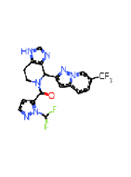 O=C(c1ccnn1C(F)F)N1CCc2[nH]cnc2C1c1cc2ccc(C(F)(F)F)cn2n1